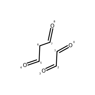 O=CC=O.O=CCC=O